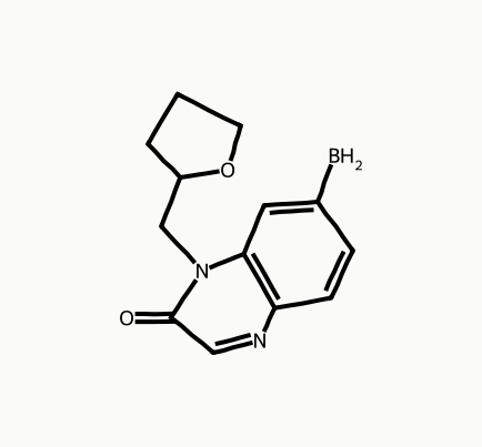 Bc1ccc2ncc(=O)n(CC3CCCO3)c2c1